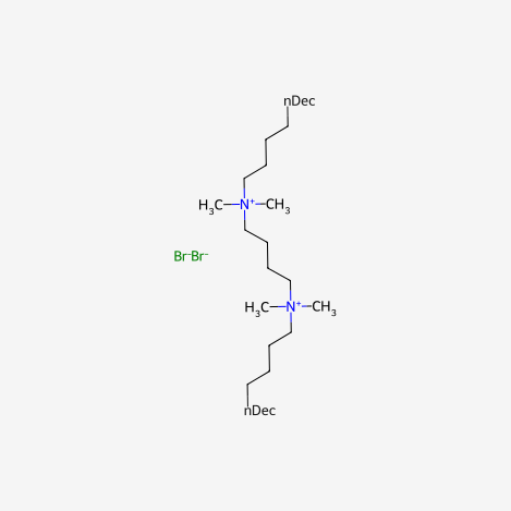 CCCCCCCCCCCCCC[N+](C)(C)CCCC[N+](C)(C)CCCCCCCCCCCCCC.[Br-].[Br-]